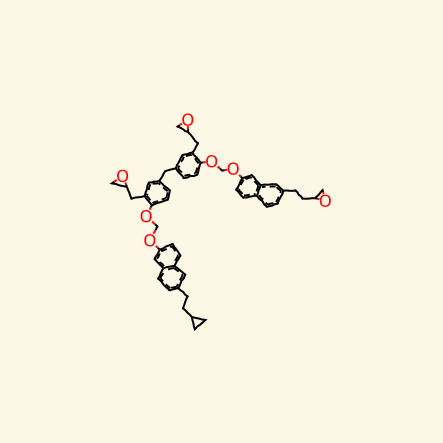 c1cc2cc(OCOc3ccc(Cc4ccc(OCOc5ccc6ccc(CCC7CO7)cc6c5)c(CC5CO5)c4)cc3CC3CO3)ccc2cc1CCC1CC1